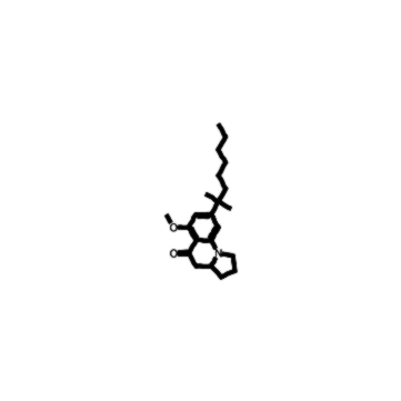 CCCCCCC(C)(C)c1cc(OC)c2c(c1)N1CCCC1CC2=O